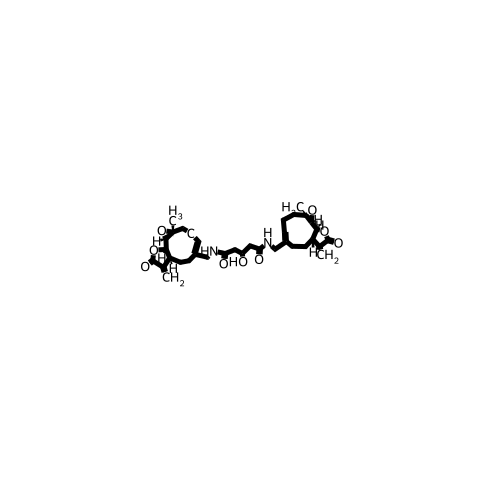 C=C1C(=O)O[C@H]2[C@H]1CC/C(CNC(=O)CC(O)CC(=O)NC/C1=C/CC[C@@]3(C)O[C@H]3[C@H]3OC(=O)C(=C)[C@@H]3CC1)=C\CC[C@@]1(C)O[C@@H]21